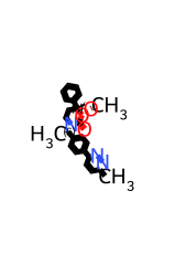 COC[C@]1(c2ccccc2)CCN([C@@H](C)c2ccc(-c3ccc(C)nn3)cc2)C(=O)O1